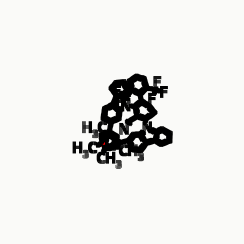 Cc1cc(C)cc(-c2ccc3c4ccccc4n(-c4ccc(-c5c(C(F)(F)F)cccc5C(F)(F)F)c(-n5c6ccccc6c6ccc(-c7cc(C)cc(C)c7)cc65)c4C#N)c3c2)c1